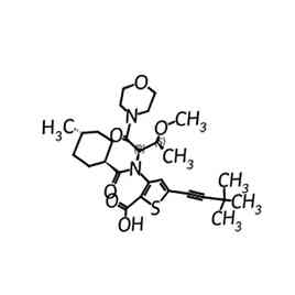 CO[C@@H](C)[C@H](C(=O)N1CCOCC1)N(c1cc(C#CC(C)(C)C)sc1C(=O)O)C(=O)[C@H]1CC[C@H](C)CC1